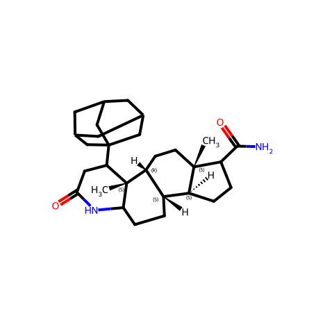 C[C@]12C(CC[C@@H]3[C@H]1CC[C@]1(C)C(C(N)=O)CC[C@@H]31)NC(=O)CC2C12CC3CC(CC(C3)C1)C2